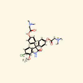 CN(C)CC(=O)Oc1ccc(C2(c3ccc(OC(=O)CN(C)C)cc3)C(=O)Nc3c2ccc(Cl)c3OC(F)(F)F)cc1